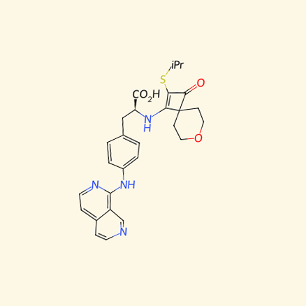 CC(C)SC1=C(N[C@@H](Cc2ccc(Nc3nccc4ccncc34)cc2)C(=O)O)C2(CCOCC2)C1=O